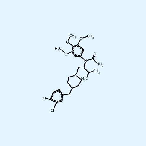 COc1cc(N(C(N)=O)[C@@H](CN2CCC(Cc3ccc(Cl)c(Cl)c3)CC2)C(C)C)cc(OC)c1OC